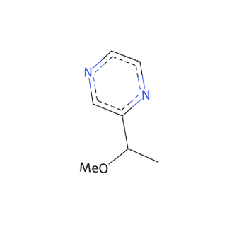 COC(C)c1cnccn1